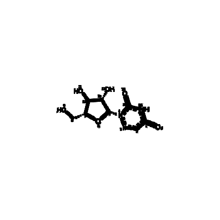 O=c1cnn([C@@H]2O[C@H](CO)C(O)[C@@H]2O)c(=O)[nH]1